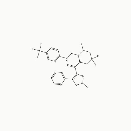 Cc1nc(C(=O)N2CC(F)(F)CC(C)C2CNc2ccc(C(F)(F)F)cn2)c(-c2ccccn2)s1